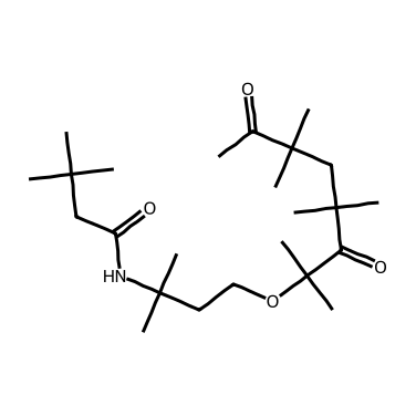 CC(=O)C(C)(C)CC(C)(C)C(=O)C(C)(C)OCCC(C)(C)NC(=O)CC(C)(C)C